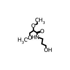 CCOC(COC)C(=O)NCCCO